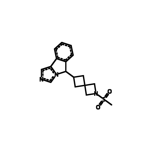 CS(=O)(=O)N1CC2(CC(C3c4ccccc4-c4cncn43)C2)C1